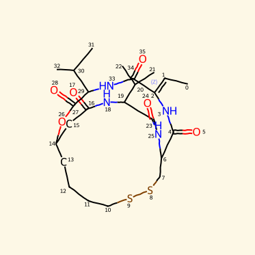 C/C=C1\NC(=O)C2CSSCCCCC(CC(=O)NC(C(C)C)C(=O)N2)OC(=O)C(C(C)C)NC1=O